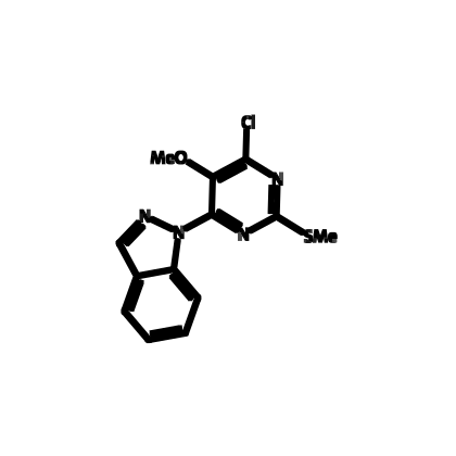 COc1c(Cl)nc(SC)nc1-n1ncc2ccccc21